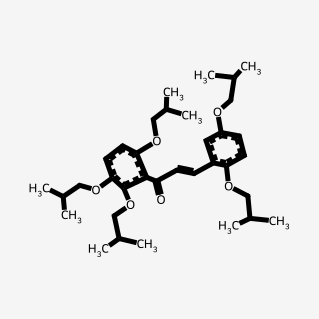 CC(C)COc1ccc(OCC(C)C)c(/C=C/C(=O)c2c(OCC(C)C)ccc(OCC(C)C)c2OCC(C)C)c1